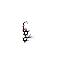 CCCCc1cc2cc(-c3ccccc3C(N)=O)ccc2o1